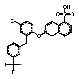 O=S(=O)(O)c1cccc2c1C=CN(Oc1ccc(Cl)cc1Cc1cccc(C(F)(F)F)c1)C2